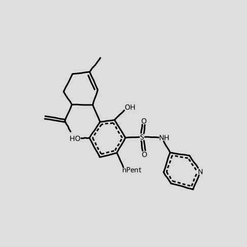 C=C(C)C1CCC(C)=CC1c1c(O)cc(CCCCC)c(S(=O)(=O)Nc2cccnc2)c1O